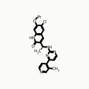 Cc1cnccc1-c1ccnc(N[C@@H](C)c2cc3cc(Cl)c(OC(C)C)cc3[nH]c2=O)n1